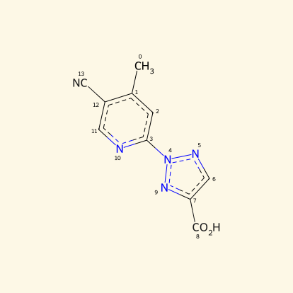 Cc1cc(-n2ncc(C(=O)O)n2)ncc1C#N